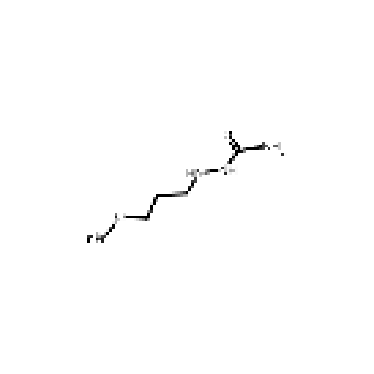 CCCOCCCNNC(N)=O